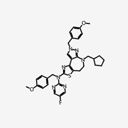 COc1ccc(CN(c2ncc(F)cn2)c2nc3c(s2)CCN(CC2CCCC2)c2nn(Cc4ccc(OC)cc4)cc2-3)cc1